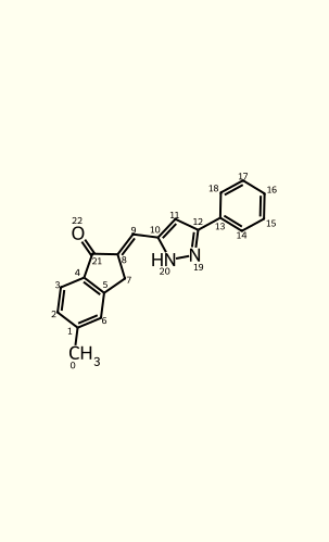 Cc1ccc2c(c1)C/C(=C\c1cc(-c3ccccc3)n[nH]1)C2=O